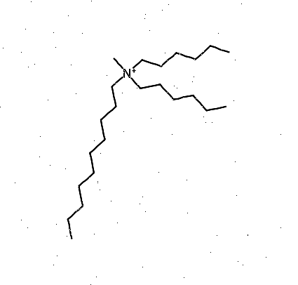 CCCCCCCCCC[N+](C)(CCCCCC)CCCCCC